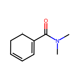 CN(C)C(=O)C1=CC=CC[CH]1